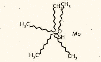 CCCCCCCCCOC(S)=S(CCCCCCCCC)(CCCCCCCCC)(CCCCCCCCC)CCCCCCCCC.[Mo]